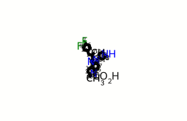 CC(Cc1ccc(F)c(F)c1)c1nc2c3c(ccc2n1C1CCNCC1)N(C(=O)O)C(C)CC3